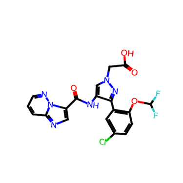 O=C(O)Cn1cc(NC(=O)c2cnc3cccnn23)c(-c2cc(Cl)ccc2OC(F)F)n1